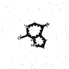 Clc1ncc(Br)c2[c]c[nH]c12